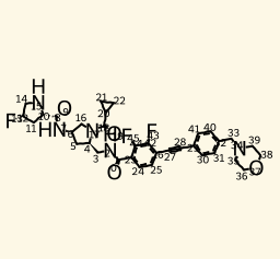 O=C(NC[C@H]1C[C@@H](NC(=O)[C@@H]2C[C@H](F)CN2)CN1C(=O)C1CC1)c1ccc(C#Cc2ccc(CN3CCOCC3)cc2)c(F)c1F